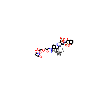 CC1(C)/C(=C/C=C/C=C2/C(=O)c3ccccc3S2([O-])[O-])N(CCCS(=O)(=O)[O-])c2ccc(NCC(=O)COCC(=O)ON3C(=O)CCC3=O)cc21.[Na+].[Na+].[Na+]